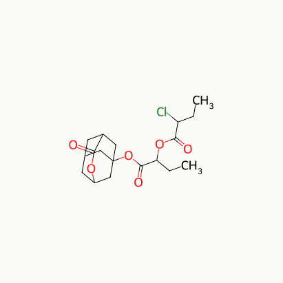 CCC(Cl)C(=O)OC(CC)C(=O)OC12CC3CC(C1)OC(=O)C(C3)C2